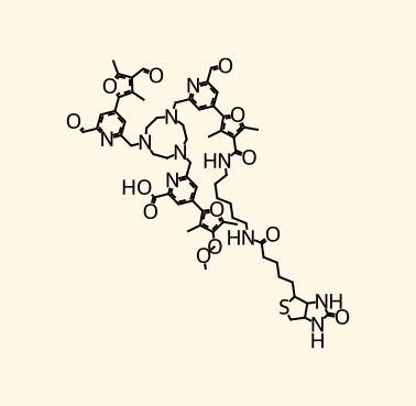 COOc1c(C)oc(-c2cc(CN3CCN(Cc4cc(-c5oc(C)c(C=O)c5C)cc(C=O)n4)CCN(Cc4cc(-c5oc(C)c(C(=O)NCCCCCCNC(=O)CCCCC6SCC7NC(=O)NC76)c5C)cc(C=O)n4)CC3)nc(C(=O)O)c2)c1C